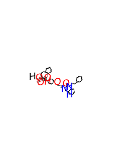 C[C@@](Cc1ccc(OCCCN(Cc2ccccc2)C(=O)NCCc2ccccc2)cc1)(Oc1ccccc1)C(=O)O